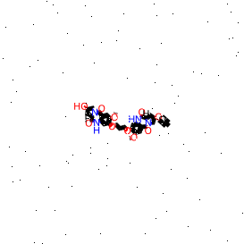 COc1cc2c(cc1OCCCOc1cc3c(cc1OC)C(=O)N1C[C@H](O)C[C@H]1C(=O)N3)NC(=O)[C@@H]1CC(O[Si](C)(C)C(C)(C)C)CN1C2=O